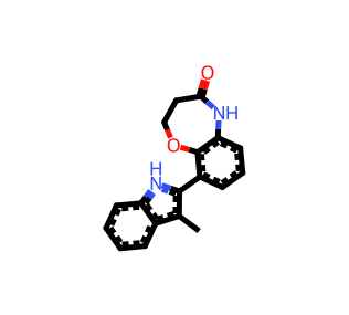 Cc1c(-c2cccc3c2OCCC(=O)N3)[nH]c2ccccc12